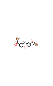 CC(C)(Br)C(=O)c1ccc2c(c1)C(C)(C)c1cc(C(=O)C(C)(C)Br)ccc1O2